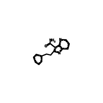 NC(=O)n1c(CCc2ccccc2)nc2cccnc21